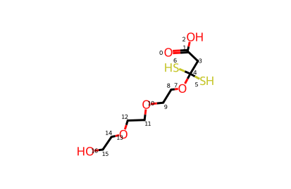 O=C(O)CC(S)(S)OCCOCCOCCO